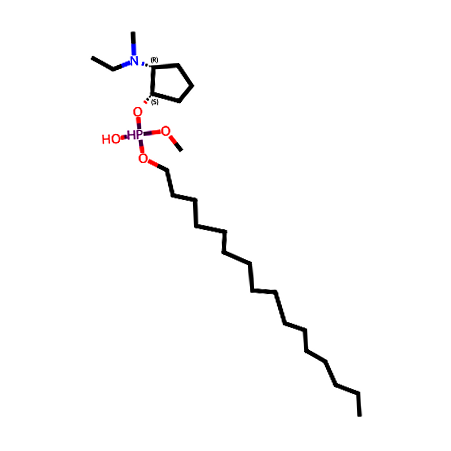 CCCCCCCCCCCCCCCCO[PH](O)(OC)O[C@H]1CCC[C@H]1N(C)CC